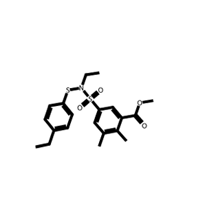 CCc1ccc(SN(CC)S(=O)(=O)c2cc(C)c(C)c(C(=O)OC)c2)cc1